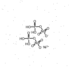 O=P(O)(O)[O][Mo](=[O])(=[O])[O-].O=P(O)(O)[O][Mo](=[O])(=[O])[O-].[Ni+2]